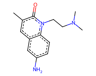 Cc1cc2cc(N)ccc2n(CCN(C)C)c1=O